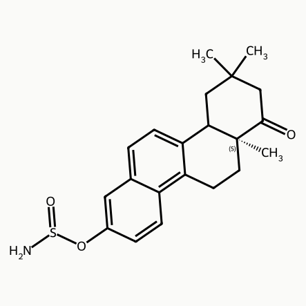 CC1(C)CC(=O)[C@@]2(C)CCc3c(ccc4cc(OS(N)=O)ccc34)C2C1